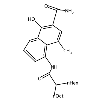 CCCCCCCCC(CCCCCC)C(=O)Nc1cccc2c(O)c(C(N)=O)cc(C)c12